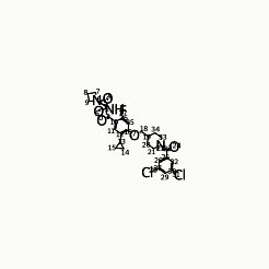 O=C(NS(=O)(=O)N1CCC1)c1cc(C2CC2)c(OCC2CCN(C(=O)c3cc(Cl)cc(Cl)c3)CC2)cc1F